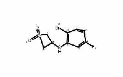 O=S1(=O)CC(Nc2cc(F)ccc2Br)C1